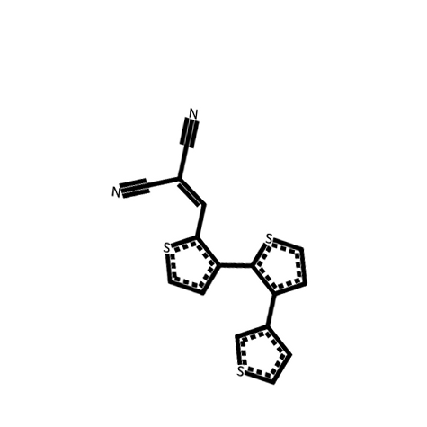 N#CC(C#N)=Cc1sccc1-c1sccc1-c1ccsc1